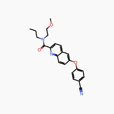 CCCN(CCOC)C(=O)c1ccc2cc(Oc3ccc(C#N)cc3)ccc2n1